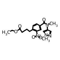 CCOC(=O)CCCc1ccc(C(=O)N(C)c2cnn(C)c2)cc1[N+](=O)[O-]